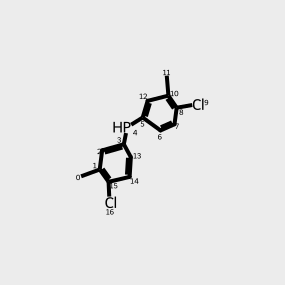 Cc1cc(Pc2ccc(Cl)c(C)c2)ccc1Cl